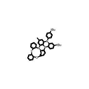 Cc1cc2c3c(c1)N1c4ccccc4Sc4ccccc4Oc4ccc(c1c4)B3c1ccc(C(C)(C)C)cc1N2c1ccc(C(C)(C)C)cc1